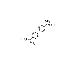 CC(C(=O)O)c1ccc(-c2ccc(C(C)C(=O)O)cn2)nc1